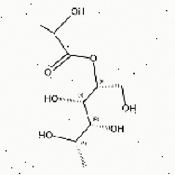 CC(O)C(=O)O[C@H](CO)[C@@H](O)[C@H](O)[C@H](C)O